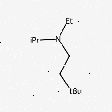 CCN(CCC(C)(C)C)C(C)C